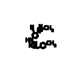 Cc1ccc(Cn2cnc(Nc3ccc(-n4cnc(C)c4)c(C#N)c3)n2)cc1